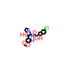 O=C(N[C@H](CN1CCCC1)[C@H](O)c1ccc2c(c1)OCCO2)C(O)C1Cc2ccc(Cl)cc2C1